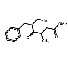 COC(=O)C[C@@H](C)C(=O)N(CC(C)=O)Cc1ccccc1